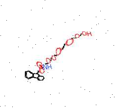 O=C(NCCOCCOCCOCCOCCOCCO)OCC1c2ccccc2-c2ccccc21